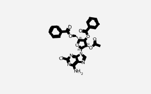 CC(=O)O[C@H]1C(OC(=O)c2ccccc2)[C@@H](COC(=O)c2ccccc2)O[C@H]1n1cnc2c(N)nc(Cl)nc21